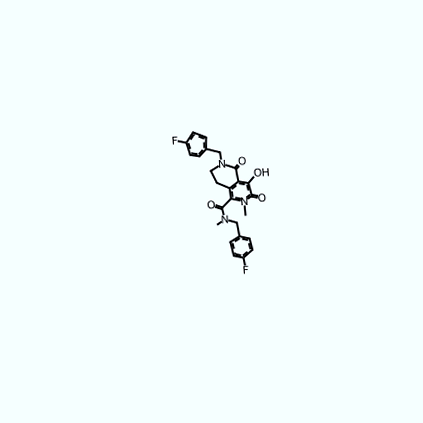 CN(Cc1ccc(F)cc1)C(=O)c1c2c(c(O)c(=O)n1C)C(=O)N(Cc1ccc(F)cc1)CC2